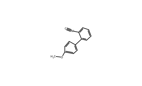 [C-]#[N+]c1ccccc1-c1ccc(OC)cc1